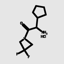 Cl.NC(C(=O)N1CC(F)(F)C1)C1CCCC1